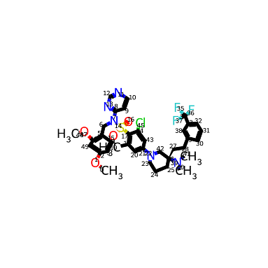 COc1ccc(CN(c2ccncn2)S(=O)(=O)c2c(C)cc(N3CCC[C@@](CCc4cccc(C(F)(F)F)c4)(N(C)C)C3)cc2Cl)c(OC)c1